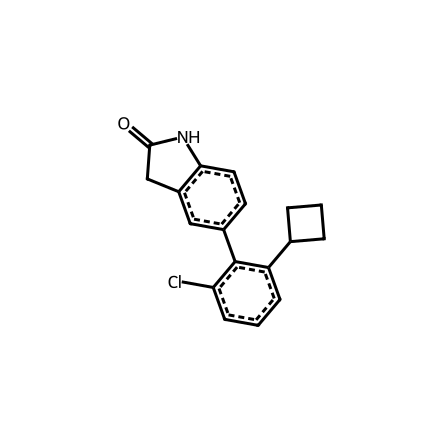 O=C1Cc2cc(-c3c(Cl)cccc3C3CCC3)ccc2N1